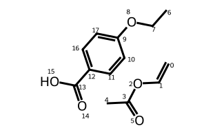 C=COC(C)=O.CCOc1ccc(C(=O)O)cc1